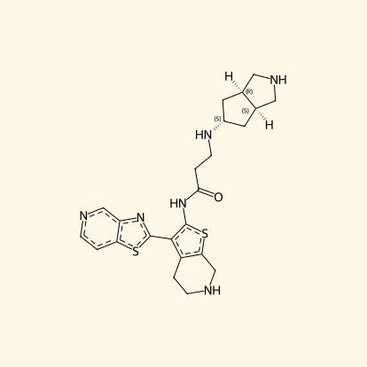 O=C(CCN[C@@H]1C[C@H]2CNC[C@H]2C1)Nc1sc2c(c1-c1nc3cnccc3s1)CCNC2